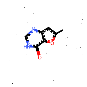 Cc1cc2nc[nH]c(=O)c2o1